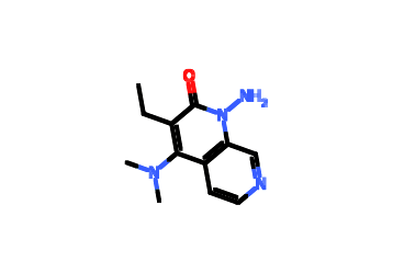 CCc1c(N(C)C)c2ccncc2n(N)c1=O